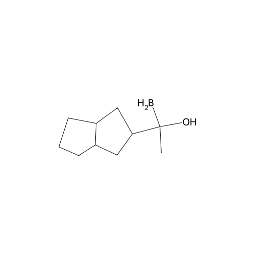 BC(C)(O)C1CC2CCCC2C1